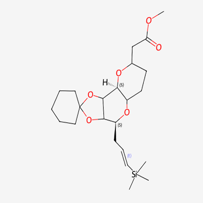 COC(=O)CC1CCC2O[C@@H](C/C=C/[Si](C)(C)C)C3OC4(CCCCC4)OC3[C@H]2O1